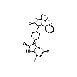 CC1(C)OC(=O)N(C2CCC(n3c(=O)[nH]c4c(F)cc(F)cc43)CC2)C1c1ccccc1